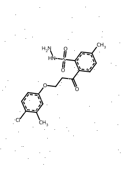 Cc1ccc(C(=O)CCOc2ccc(Cl)c(C)c2)c(S(=O)(=O)NN)c1